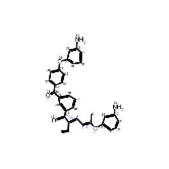 C=C/C(=C\C=C(/C)Oc1cccc(N)c1)C(=O)c1cccc(C(=O)c2ccc(Oc3cccc(N)c3)cc2)c1